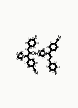 N#Cc1ccc(/C(=C/Cc2ccc(F)cc2)n2ccnc2)cc1.N#Cc1ccc(C(C(O)Cc2ccc(F)cc2)n2ccnc2)cc1